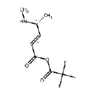 CN[C@H](C)/C=C/C(=O)OC(=O)C(F)(F)F